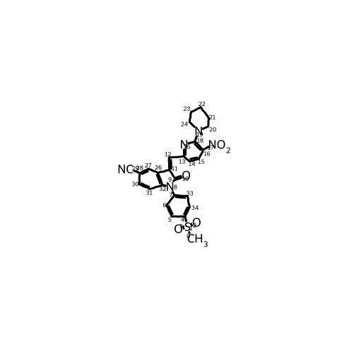 CS(=O)(=O)c1ccc(N2C(=O)/C(=C\c3ccc([N+](=O)[O-])c(N4CCCCC4)n3)c3cc(C#N)ccc32)cc1